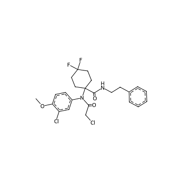 COc1ccc(N(C(=O)CCl)C2(C(=O)NCCc3ccccc3)CCC(F)(F)CC2)cc1Cl